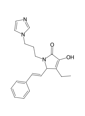 CCC1=C(O)C(=O)N(CCCn2ccnc2)C1C=Cc1ccccc1